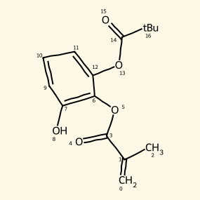 C=C(C)C(=O)Oc1c(O)cccc1OC(=O)C(C)(C)C